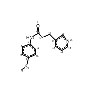 CSc1ccc(NC(=O)SCc2cccnc2)cc1